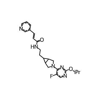 CC(C)Oc1ncc(F)c(N2CC3C(CCNC(=O)/C=C/c4cccnc4)C3C2)n1